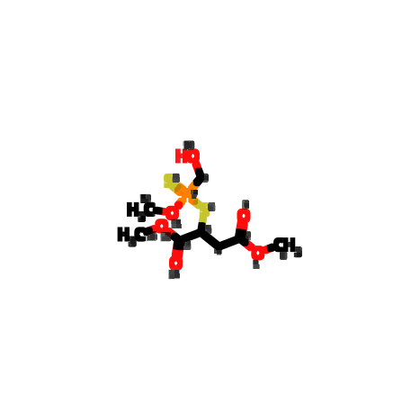 COC(=O)CC(SP(=S)(CO)OC)C(=O)OC